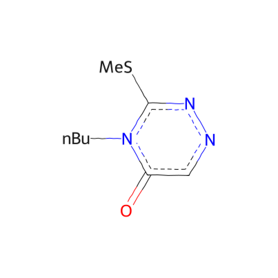 CCCCn1c(SC)nncc1=O